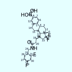 C[C@]12CCC3c4ccc(B(O)O)cc4CCC3C1[C@H](CCC(=O)NCc1ccc(F)cc1F)CC2(F)F